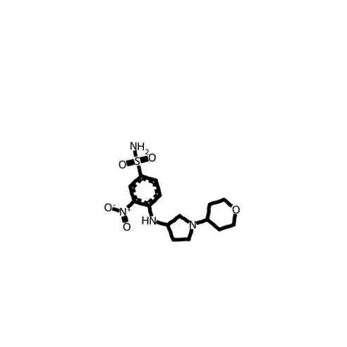 NS(=O)(=O)c1ccc(NC2CCN(C3CCOCC3)C2)c([N+](=O)[O-])c1